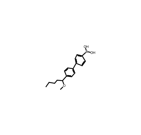 CCCCC(OC)c1ccc(-c2ccc(B(O)O)cc2)cc1